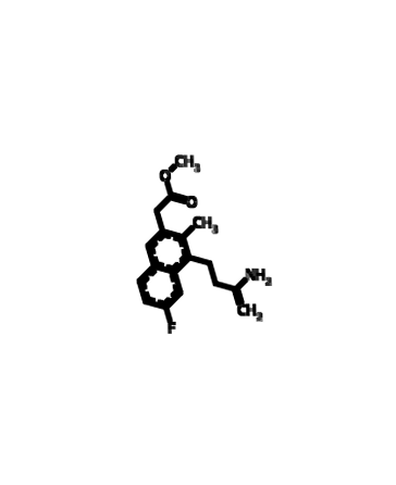 C=C(N)CCc1c(C)c(CC(=O)OC)cc2ccc(F)cc12